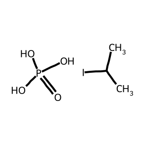 CC(C)I.O=P(O)(O)O